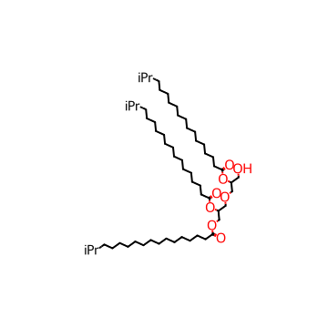 CC(C)CCCCCCCCCCCCCCC(=O)OCC(COCC(CO)OC(=O)CCCCCCCCCCCCCCC(C)C)OC(=O)CCCCCCCCCCCCCCC(C)C